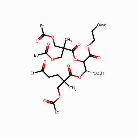 CCC(=O)CCC(C)(COC(=O)CC)C(=O)O[C@@H](C(=O)O)[C@@H](OC(=O)C(C)(COC(=O)CC)COC(=O)CC)C(=O)OCCOC